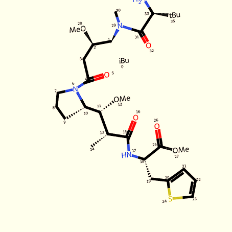 CC[C@H](C)[C@@H]([C@@H](CC(=O)N1CCC[C@H]1[C@H](OC)[C@@H](C)C(=O)N[C@@H](Cc1cccs1)C(=O)OC)OC)N(C)C(=O)[C@@H](N)C(C)(C)C